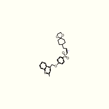 Cc1cc(COc2ccc(S(=O)(=O)/C=C\CC3CCC4(CC3)OCCO4)cc2)c2ccccc2n1